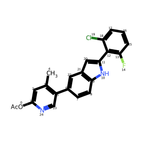 CC(=O)Oc1cc(C)c(-c2ccc3[nH]c(-c4c(F)cccc4Cl)cc3c2)cn1